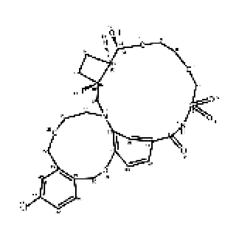 O=C1NS(=O)(=O)CCCCC[C@H](O)[C@@H]2CC[C@H]2CN2CCCCc3cc(Cl)ccc3COc3ccc1cc32